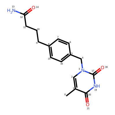 Cc1cn(Cc2ccc(CCCC(N)=O)cc2)c(=O)[nH]c1=O